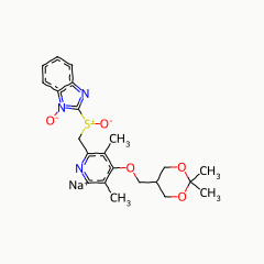 Cc1cnc(C[S+]([O-])c2nc3ccccc3n2[O-])c(C)c1OCC1COC(C)(C)OC1.[Na+]